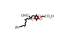 Cc1c(C)c2c(c(C)c1OC(=O)CCC(=O)O)CC[C@@](C)(C(CC=O)CC[C@H](C)CCC[C@H](C)CCCC(C)C)O2